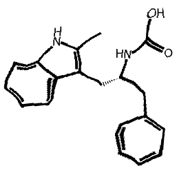 Cc1[nH]c2ccccc2c1C[C@@H](Cc1ccccc1)NC(=O)O